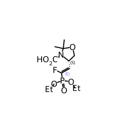 CCOP(=O)(OCC)/C(F)=C/[C@H]1COC(C)(C)N1C(=O)O